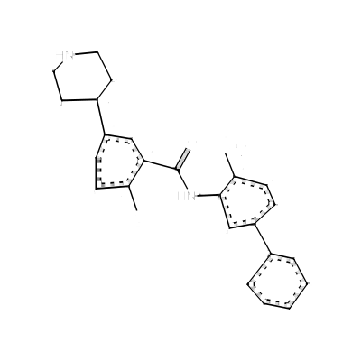 O=C(Nc1cc(-c2ccccc2)ccc1C(=O)O)c1cc(C2CCNCC2)ccc1O